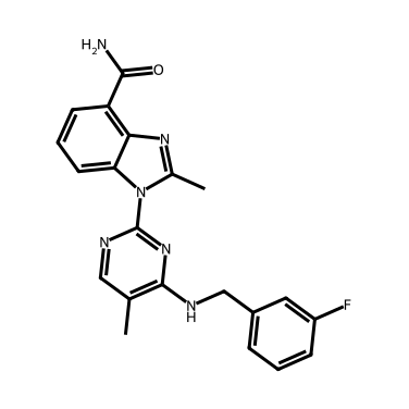 Cc1cnc(-n2c(C)nc3c(C(N)=O)cccc32)nc1NCc1cccc(F)c1